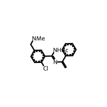 C=C(/N=C(\NC(C)=O)c1cc(CNC)ccc1Cl)c1ccccc1